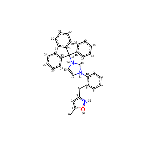 Cc1cc(Cc2ccccc2N2C=CN(C(c3ccccc3)(c3ccccc3)c3ccccc3)C2)no1